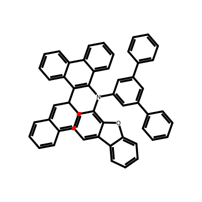 C1=c2ccccc2=CC(c2c(N(c3cc(-c4ccccc4)cc(-c4ccccc4)c3)c3cccc4c3oc3ccccc34)c3ccccc3c3ccccc23)C1